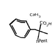 CCCCCC(C)(C(=O)O)c1ccccc1.[CaH2]